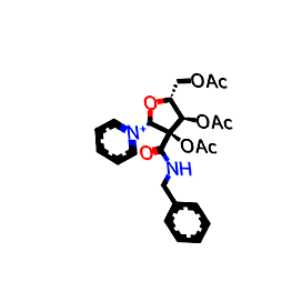 CC(=O)OC[C@H]1O[C@@H]([n+]2ccccc2)[C@@](OC(C)=O)(C(=O)NCc2ccccc2)[C@@H]1OC(C)=O